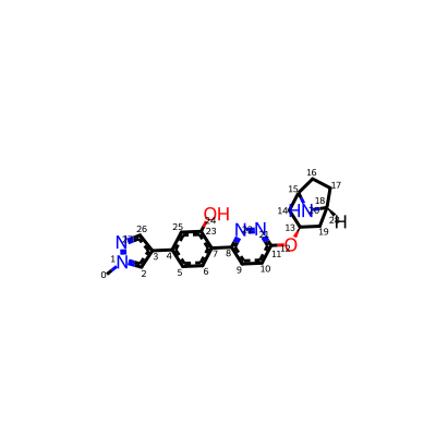 Cn1cc(-c2ccc(-c3ccc(O[C@H]4CC5CC[C@H](C4)N5)nn3)c(O)c2)cn1